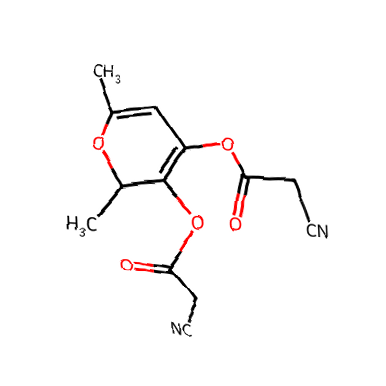 CC1=CC(OC(=O)CC#N)=C(OC(=O)CC#N)C(C)O1